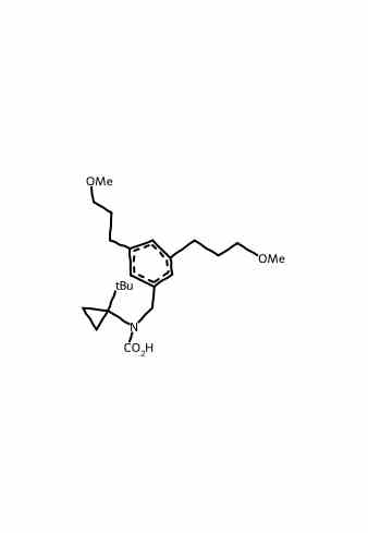 COCCCc1cc(CCCOC)cc(CN(C(=O)O)C2(C(C)(C)C)CC2)c1